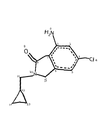 Nc1cc(Cl)cc2c1C(=O)N(CC1CC1)C2